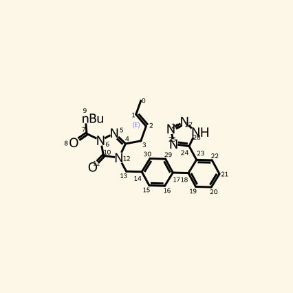 C/C=C/Cc1nn(C(=O)CCCC)c(=O)n1Cc1ccc(-c2ccccc2-c2nnn[nH]2)cc1